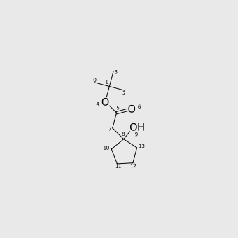 CC(C)(C)OC(=O)CC1(O)CCCC1